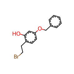 Oc1cc(OCc2ccccc2)ccc1CCBr